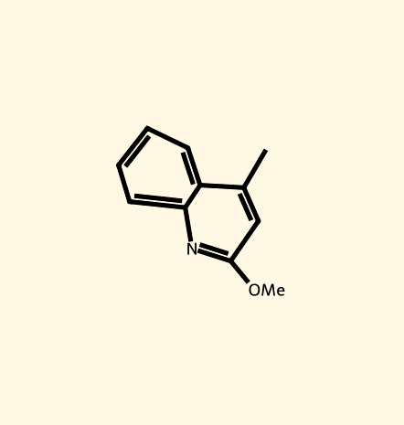 [CH2]Oc1cc(C)c2ccccc2n1